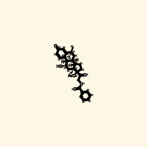 CC(=O)O[C@]1(C(=O)COC(=O)c2ccccc2)CC[C@H]2[C@@H]3C[C@H](C)C4=CC(=O)C=C[C@]4(C)[C@H]3[C@@H](O)C[C@@]21C